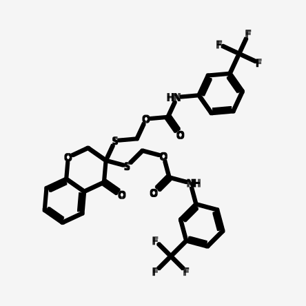 O=C(Nc1cccc(C(F)(F)F)c1)OCSC1(SCOC(=O)Nc2cccc(C(F)(F)F)c2)COc2ccccc2C1=O